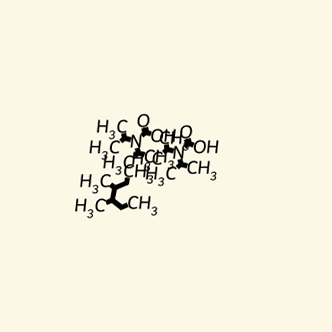 CC(C)N(C(=O)O)C(C)C.CC(C)N(C(=O)O)C(C)C.CCC(C)C(C)CC